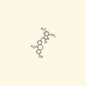 CCc1nc2c(C)cc(C)nc2n1Cc1ccc2c(c1)CCc1cc(C#N)ccc1N2C